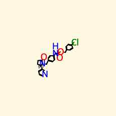 O=C(Nc1ccc(CN2C(=O)CC[C@@H]2c2cccnc2)cc1)OCc1ccc(Cl)cc1